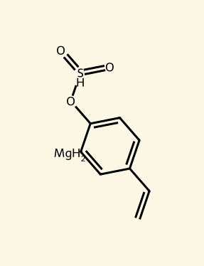 C=Cc1ccc(O[SH](=O)=O)cc1.[MgH2]